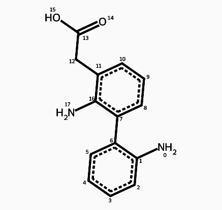 Nc1ccccc1-c1cccc(CC(=O)O)c1N